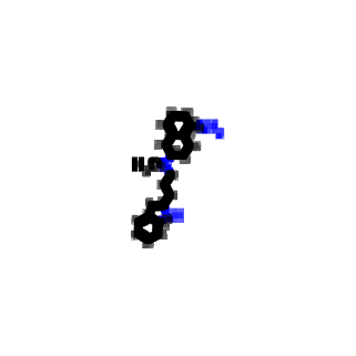 CN(CCCc1cc2ccccc2[nH]1)C1CCc2c(N)cccc2C1